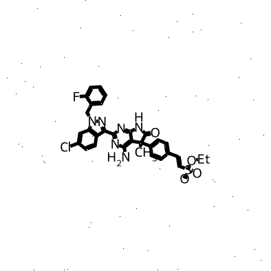 CCOS(=O)(=O)C=Cc1ccc(C2(C)C(=O)Nc3nc(-c4nn(Cc5ccccc5F)c5cc(Cl)ccc45)nc(N)c32)cc1